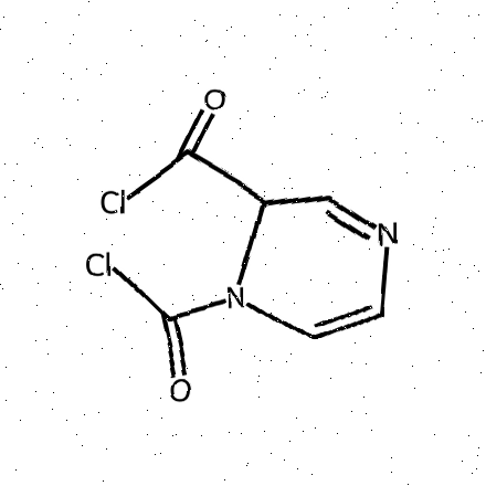 O=C(Cl)C1C=NC=CN1C(=O)Cl